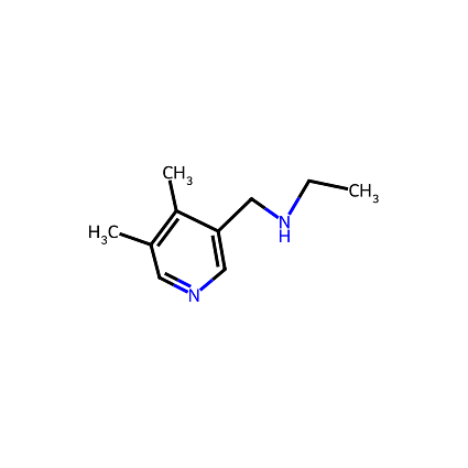 CCNCc1cncc(C)c1C